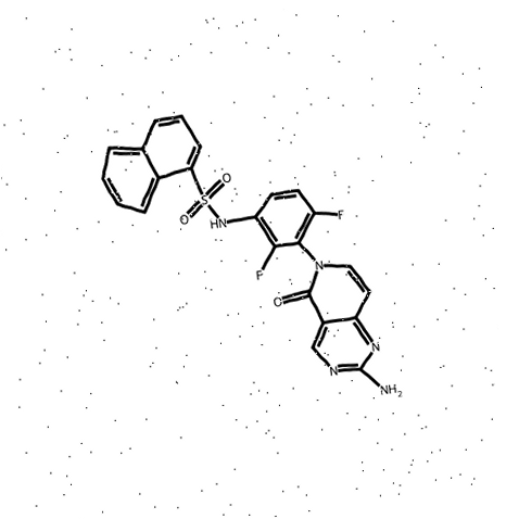 Nc1ncc2c(=O)n(-c3c(F)ccc(NS(=O)(=O)c4cccc5ccccc45)c3F)ccc2n1